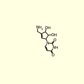 NCC1=CC(n2ccc(=O)[nH]c2=O)C(O)C1O